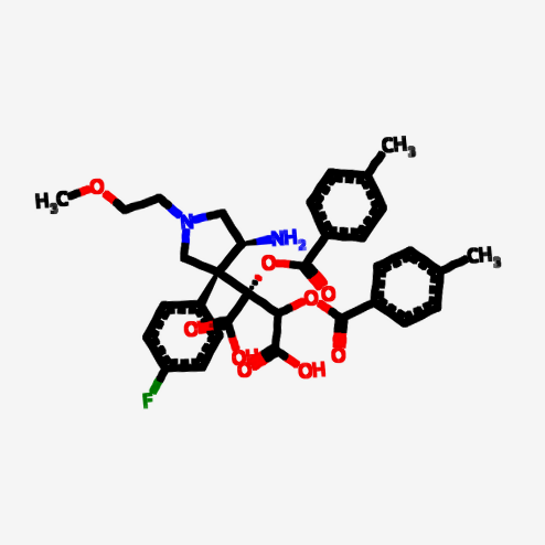 COCCN1C[C@@H](N)[C@](c2ccc(F)cc2)([C@](OC(=O)c2ccc(C)cc2)(C(=O)O)C(OC(=O)c2ccc(C)cc2)C(=O)O)C1